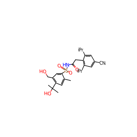 Cc1cc(C(C)(C)O)c(CO)cc1S(=O)(=O)NC(=O)Cc1c(C(C)C)cc(C#N)cc1C(C)C